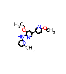 CCOc1cc(-c2ccc(OC)nc2)cnc1Nc1cccc(C)n1